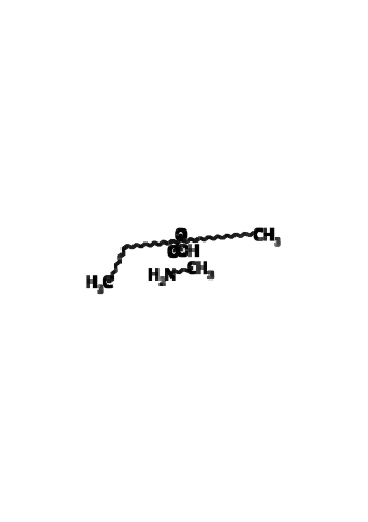 CCCCCCCC/C=C\CCCCCCCCCCC(C(=O)O)C(=O)CCCCCCCCCCCCCCCCC.CCCCCN